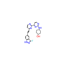 OC1CCC(Nc2nccc(-c3nccc(C#Cc4ccc5[nH]nc(F)c5c4)n3)n2)CC1